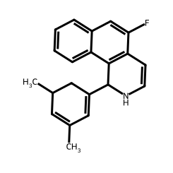 CC1=CC(C)CC(C2NC=Cc3c(F)cc4ccccc4c32)=C1